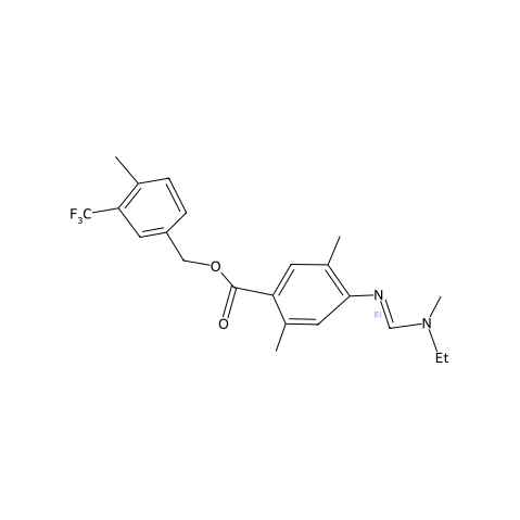 CCN(C)/C=N/c1cc(C)c(C(=O)OCc2ccc(C)c(C(F)(F)F)c2)cc1C